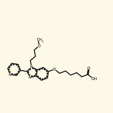 COCCCn1c(-c2cccnc2)nc2ccc(OCCCCCC(=O)O)cc21